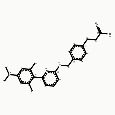 Cc1cc(N(C)C)cc(C)c1-c1cccc(OCc2ccc(CCC(=O)O)cc2)n1